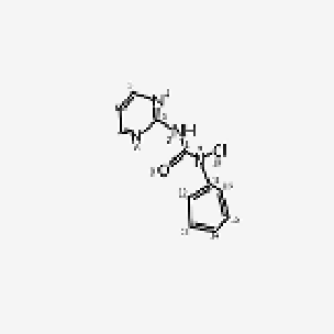 O=C(Nc1ncccn1)N(Cl)c1ccccc1